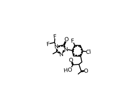 CC(=O)C(Cc1cc(-n2nc(C)n(C(F)F)c2=O)c(F)cc1Cl)C(=O)O